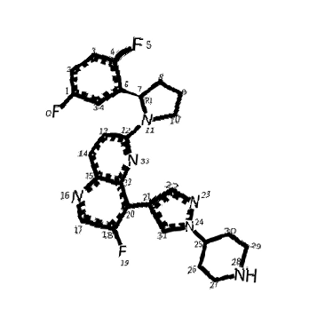 Fc1ccc(F)c([C@H]2CCCN2c2ccc3ncc(F)c(-c4cnn(C5CCNCC5)c4)c3n2)c1